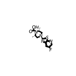 C[C@@H]1CN(c2nc3cc(F)cnc3s2)C[C@H](C)N1C(=O)O